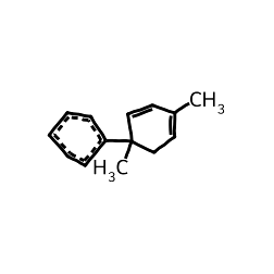 CC1=CCC(C)(c2ccccc2)C=C1